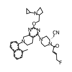 Cc1cccc2cccc(N3CCc4c(nc(OCC5CCN5C5CC5)nc4N4CCN(C(=O)/C=C/CF)[C@@H](CC#N)C4)C3)c12